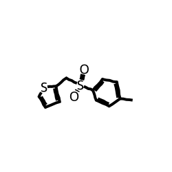 Cc1ccc(S(=O)(=O)Cc2cccs2)cc1